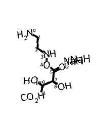 NCCNOC(=O)C(O)C(O)C(=O)O.[NaH].[NaH]